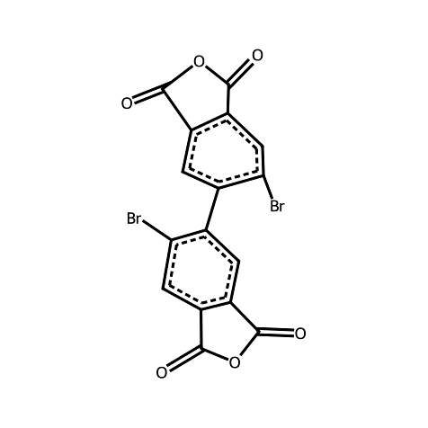 O=C1OC(=O)c2cc(-c3cc4c(cc3Br)C(=O)OC4=O)c(Br)cc21